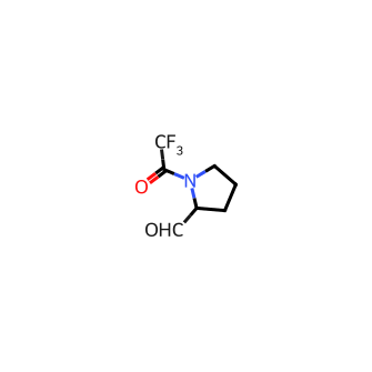 O=CC1CCCN1C(=O)C(F)(F)F